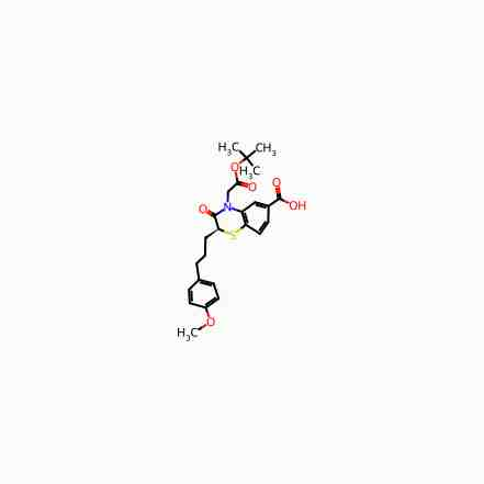 COc1ccc(CCC[C@@H]2Sc3ccc(C(=O)O)cc3N(CC(=O)OC(C)(C)C)C2=O)cc1